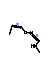 C/C=C\O/N=C\NC